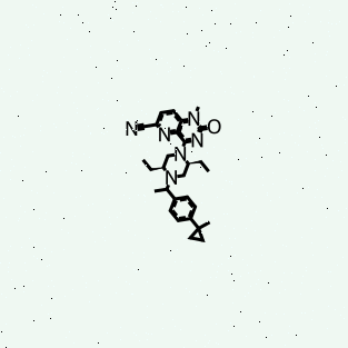 CC[C@H]1CN(C(C)c2ccc(C3(C)CC3)cc2)[C@@H](CC)CN1c1nc(=O)n(C)c2ccc(C#N)nc12